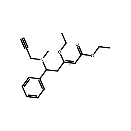 C#CCN(C)C(C/C(=C/C(=O)OCC)OCC)c1ccccc1